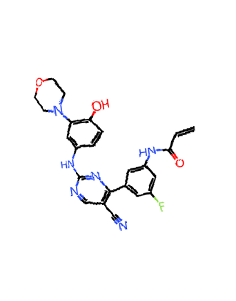 C=CC(=O)Nc1cc(F)cc(-c2nc(Nc3ccc(O)c(N4CCOCC4)c3)ncc2C#N)c1